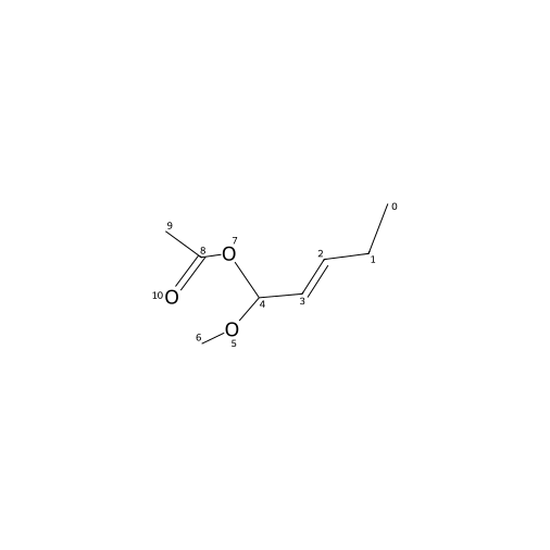 CCC=CC(OC)OC(C)=O